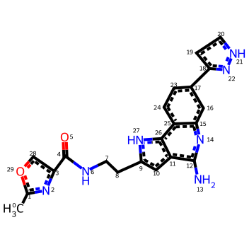 Cc1nc(C(=O)NCCc2cc3c(N)nc4cc(-c5cc[nH]n5)ccc4c3[nH]2)co1